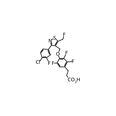 O=C(O)CCc1cc(F)c(OCc2c(-c3ccc(Cl)c(F)c3)nsc2CF)c(F)c1F